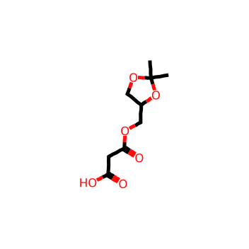 CC1(C)OCC(COC(=O)CC(=O)O)O1